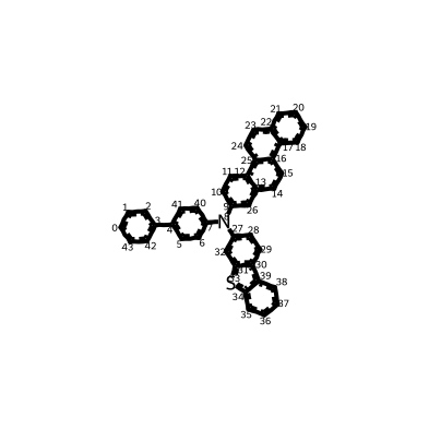 c1ccc(-c2ccc(N(c3ccc4c(ccc5c6ccccc6ccc45)c3)c3ccc4c(c3)sc3ccccc34)cc2)cc1